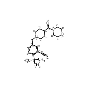 CC(C)(C)c1ncc(CN2CCC(C(=O)N3CCOCC3)CC2)cc1C#N